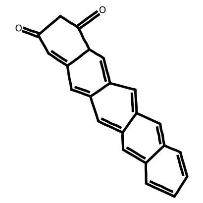 O=C1C=C2C=c3cc4cc5ccccc5cc4cc3=CC2C(=O)C1